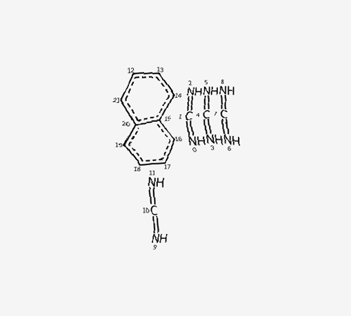 N=C=N.N=C=N.N=C=N.N=C=N.c1ccc2ccccc2c1